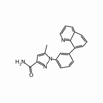 Cc1cc(C(N)=O)nn1-c1cccc(-c2cccc3cccnc23)c1